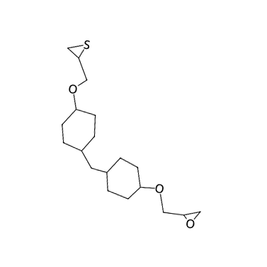 C1CC(OCC2CO2)CCC1CC1CCC(OCC2CS2)CC1